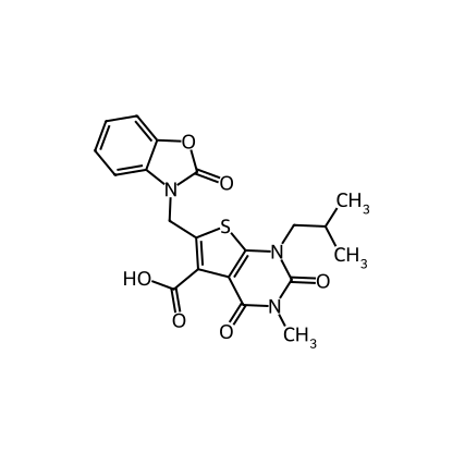 CC(C)Cn1c(=O)n(C)c(=O)c2c(C(=O)O)c(Cn3c(=O)oc4ccccc43)sc21